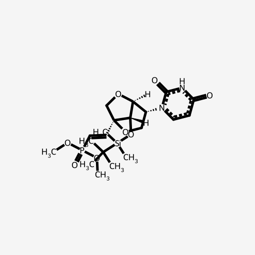 COP(=O)(/C=C/[C@@]12CO[C@@H]([C@H](n3ccc(=O)[nH]c3=O)CO1)[C@@H]2O[Si](C)(C)C(C)(C)C)OC